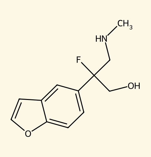 CNCC(F)(CO)c1ccc2occc2c1